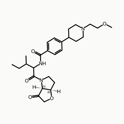 CCC(C)C(NC(=O)c1ccc(C2CCN(CCOC)CC2)cc1)C(=O)N1CC[C@H]2OCC(=O)[C@H]21